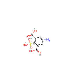 N.O=C(O)c1cccc(C(=O)O)c1S(=O)(=O)O